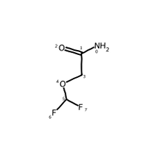 NC(=O)COC(F)F